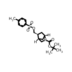 Cc1ccc(S(=O)(=O)OC[C@H]2C[C@H]3C[C@@H]2CN3C(=O)OC(C)(C)C)cc1